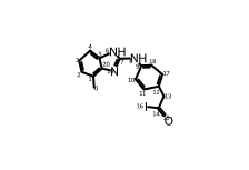 Cc1cccc2[nH]c(Nc3ccc(CC(=O)I)cc3)nc12